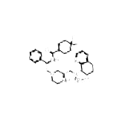 CCCCCN(C[C@@H]1CN(C[C@@H](NC(=O)C2CCC(F)(F)CC2)c2ccccc2)CCN1)[C@H]1CCCc2cccnc21